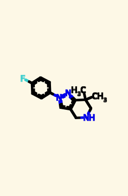 CC1(C)CNCc2cn(-c3ccc(F)cc3)nc21